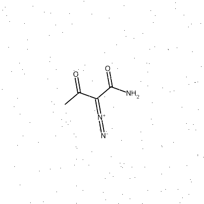 CC(=O)C(=[N+]=[N-])C(N)=O